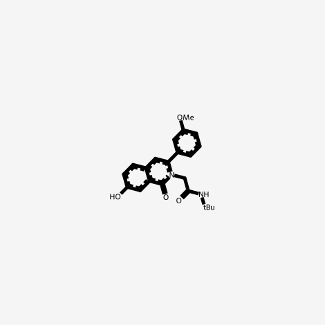 COc1cccc(-c2cc3ccc(O)cc3c(=O)n2CC(=O)NC(C)(C)C)c1